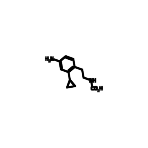 Nc1ccc(CCNC(=O)O)c(C2CC2)c1